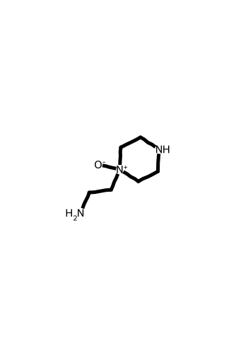 NCC[N+]1([O-])CCNCC1